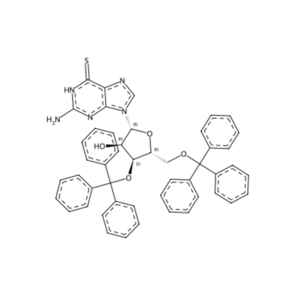 Nc1nc2c(ncn2[C@@H]2O[C@H](COC(c3ccccc3)(c3ccccc3)c3ccccc3)[C@@H](OC(c3ccccc3)(c3ccccc3)c3ccccc3)[C@H]2O)c(=S)[nH]1